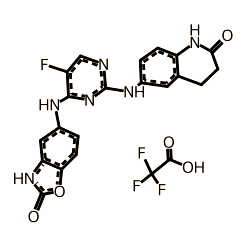 O=C(O)C(F)(F)F.O=C1CCc2cc(Nc3ncc(F)c(Nc4ccc5oc(=O)[nH]c5c4)n3)ccc2N1